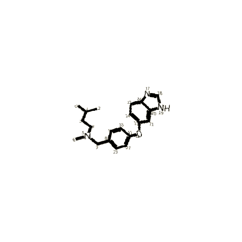 CC(C)CCN(C)Cc1ccc(Oc2ccc3nc[nH]c3c2)cc1